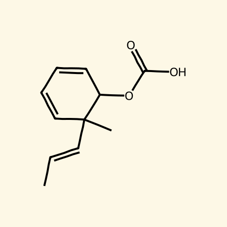 CC=CC1(C)C=CC=CC1OC(=O)O